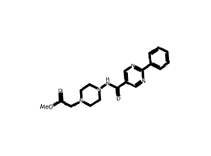 COC(=O)CN1CCN(NC(=O)c2cnc(-c3ccccc3)nc2)CC1